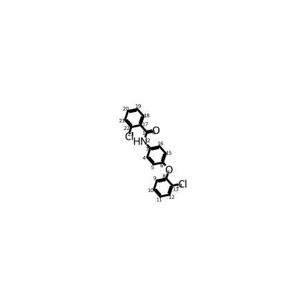 O=C(Nc1ccc(Oc2ccccc2Cl)cc1)c1ccccc1Cl